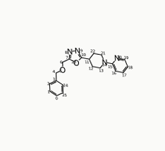 c1ccc(COCc2nnc(C3CCN(c4ccccn4)CC3)o2)cc1